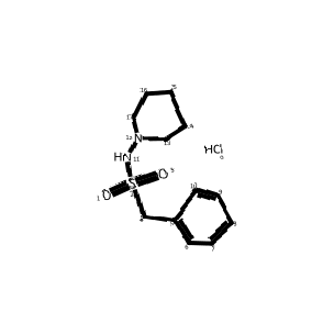 Cl.O=S(=O)(Cc1ccccc1)NN1CCCCC1